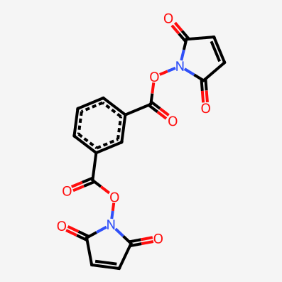 O=C(ON1C(=O)C=CC1=O)c1cccc(C(=O)ON2C(=O)C=CC2=O)c1